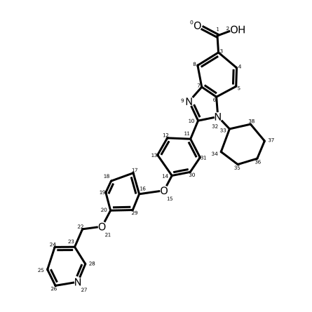 O=C(O)c1ccc2c(c1)nc(-c1ccc(Oc3cccc(OCc4cccnc4)c3)cc1)n2C1CCCCC1